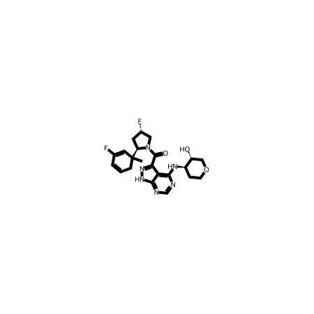 CC1([C@H]2C[C@H](F)CN2C(=O)c2n[nH]c3ncnc(N[C@@H]4CCOC[C@H]4O)c23)C=C(F)C=CC1